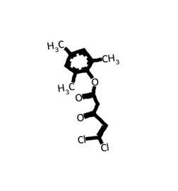 Cc1cc(C)c(OC(=O)CC(=O)C=C(Cl)Cl)c(C)c1